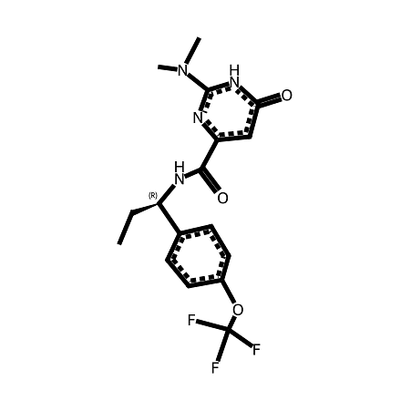 CC[C@@H](NC(=O)c1cc(=O)[nH]c(N(C)C)n1)c1ccc(OC(F)(F)F)cc1